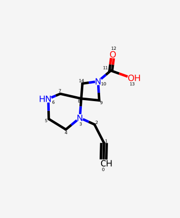 C#CCN1CCNCC12CN(C(=O)O)C2